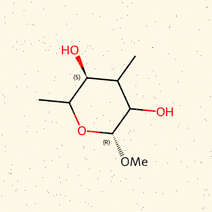 CO[C@@H]1OC(C)[C@@H](O)C(C)C1O